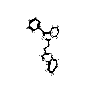 c1ccc(-c2nc(CCc3cnc4ccccc4n3)n3c2CCCC3)cc1